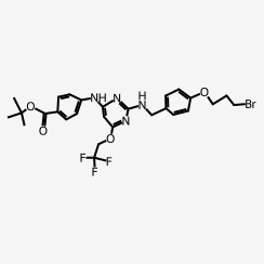 CC(C)(C)OC(=O)c1ccc(Nc2cc(OCC(F)(F)F)nc(NCc3ccc(OCCCBr)cc3)n2)cc1